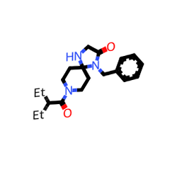 CCC(CC)C(=O)N1CCC2(CC1)NCC(=O)N2Cc1ccccc1